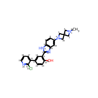 CN1CC2(C1)CN(c1ccc3[nH]c(-c4cc(-c5cccnc5Cl)ccc4O)nc3c1)C2